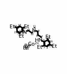 CCc1cc(CC)c(NCCCN(C)CCNc2c(CC)cc(CC)cc2CC)c(CC)c1.[Br-].[Br-].[Co+2]